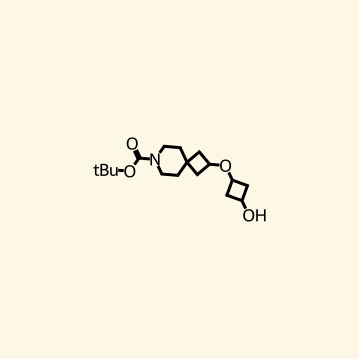 CC(C)(C)OC(=O)N1CCC2(CC1)CC(OC1CC(O)C1)C2